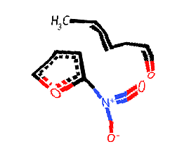 CC=CC=O.O=[N+]([O-])c1ccco1